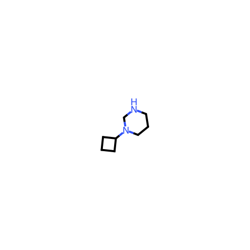 C1CC(N2CCCNC2)C1